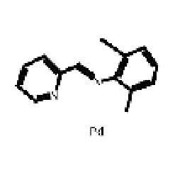 Cc1cccc(C)c1N=Cc1ccccn1.[Pd]